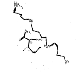 CC[C@H](C)[C@H](N)C(N)=O.NCCCNCCCCNCCCN